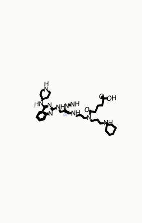 N=N/C(=C\NCCCN(CCCNC1CCCCC1)C(=O)CCCC(=O)O)CNc1nc(NC2CCNCC2)c2ccccc2n1